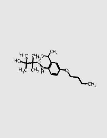 CCCCOc1ccc(BOC(C)(C)C(C)(C)O)c(C(C)C)c1